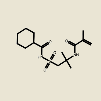 C=C(C)C(=O)NC(C)(C)CS(=O)(=O)NC(=O)C1CCCCC1